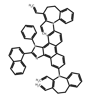 C=CC1=C(C=C)N(c2ccc3c4ccc(N5C(C=C)=C(C=C)CCc6ccccc65)cc4c4c(nc(-c5cccc6ccccc56)n4-c4ccccc4)c3c2)c2ccccc2CC1